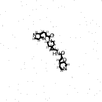 O=C(NCC1CC12CCN(C(=O)c1ccc3cnccc3n1)CC2)c1cc2ccncc2o1